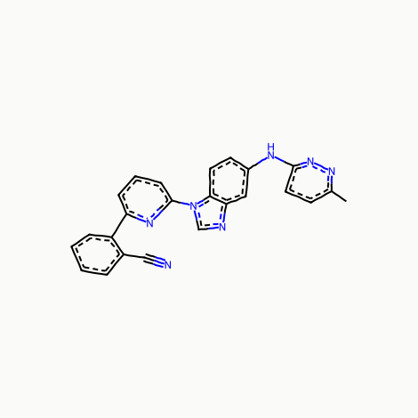 Cc1ccc(Nc2ccc3c(c2)ncn3-c2cccc(-c3ccccc3C#N)n2)nn1